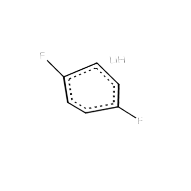 Fc1ccc(F)cc1.[LiH]